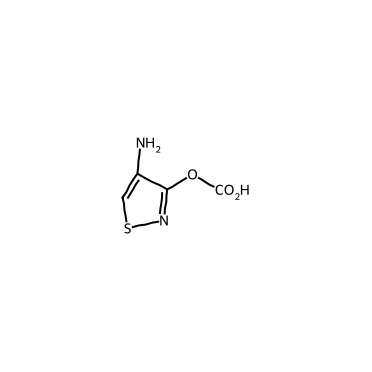 Nc1csnc1OC(=O)O